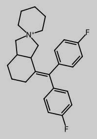 Fc1ccc(C(=C2CCCC3C[N+]4(CCCCC4)CC23)c2ccc(F)cc2)cc1